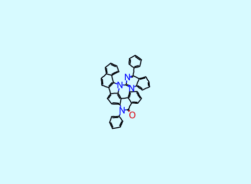 O=c1c2ccccc2c2c(ccc3c4ccc5ccccc5c4n(-c4nc(-c5ccccc5)c5ccccc5n4)c32)n1-c1ccccc1